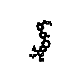 COc1cc(-c2ccc(C3CCCc4ccc(C(C5CC5)[C@H](C)C(=O)O)cc4O3)c(F)c2)ccn1